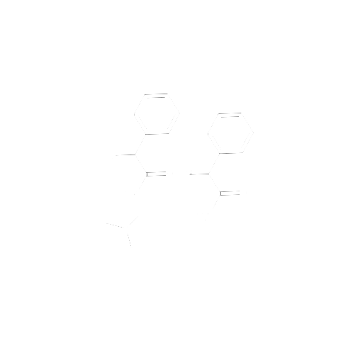 CC(C(=O)C(=O)O)c1ccccc1.CC(C(=O)C(=O)O)c1ccccc1.OB(O)O